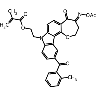 C=C(C)C(=O)OCCn1c2ccc(C(=O)c3ccccc3C)cc2c2c3c(ccc21)C(=O)/C(=N/OC(C)=O)CCO3